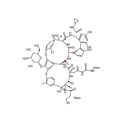 CCCCCCNC(=O)NC(=O)C[C@@H]1NC(=O)[C@H](NC(=O)[C@@H](CC(C)C)NC)[C@H](O)c2ccc(c(C)c2)Oc2cc3cc(c2O[C@@H]2O[C@H](CO)[C@@H](O)[C@H](O)[C@H]2O)OC2=CC[C@@H](C=C2Cl)[C@@H](O)[C@@H]2NC(=O)[C@H](NC(=O)[C@@H]3NC1=O)c1ccc(O)c(c1)-c1c(O)cc(O)cc1[C@@H](C(=O)NC1CC1)NC2=O